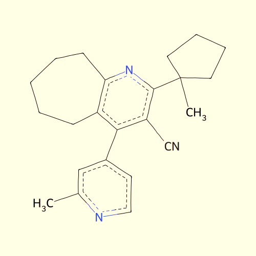 Cc1cc(-c2c(C#N)c(C3(C)CCCC3)nc3c2CCCCC3)ccn1